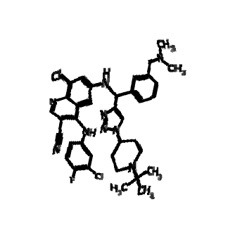 CN(C)Cc1cccc(C(Nc2cc(Cl)c3ncc(C#N)c(Nc4ccc(F)c(Cl)c4)c3c2)c2cn(C3CCN(C(C)(C)C)CC3)nn2)c1